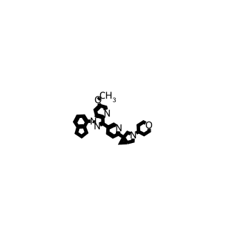 COc1cnc2c(-c3ccc(C45CC4CN(C4CCOCC4)C5)nc3)nn(-c3cccc4c3CCC4)c2c1